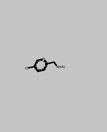 CC(=O)NCc1ccc(Cl)cn1